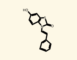 O=c1sc2cc(O)ccc2n1/C=C/c1ccccc1